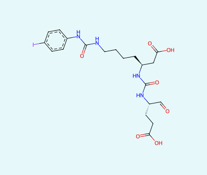 O=C[C@H](CCC(=O)O)NC(=O)N[C@@H](CCCCNC(=O)Nc1ccc(I)cc1)CC(=O)O